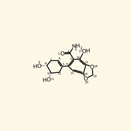 NC(=O)c1c(C2=CC[C@@H](O)[C@@H](O)C2)cc2c(c1O)OCO2